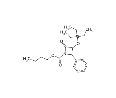 CCCCOC(=O)N1C(=O)C(O[Si](CC)(CC)CC)C1c1ccccc1